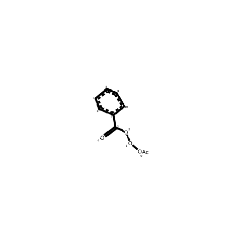 CC(=O)OOOC(=O)c1ccccc1